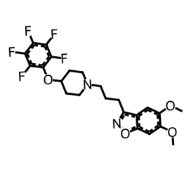 COc1cc2onc(CCCN3CCC(Oc4c(F)c(F)c(F)c(F)c4F)CC3)c2cc1OC